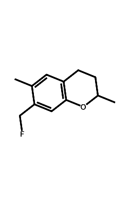 Cc1cc2c(cc1CF)OC(C)CC2